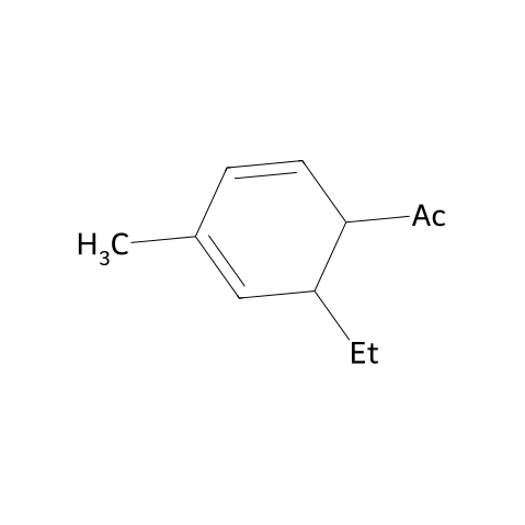 CCC1C=C(C)C=CC1C(C)=O